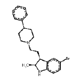 C[C@@H]1Nc2ccc(Br)cc2[C@@H]1CCN1CCC(c2ccccc2)CC1